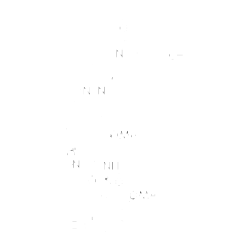 CC#CC(=O)N1Cc2cn(Cc3cc(OC)c4c(NS(=O)(=O)c5cc(CC)ccc5OC)noc4c3)nc2C1